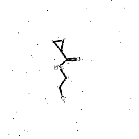 [O]CCNC(=O)C1CC1